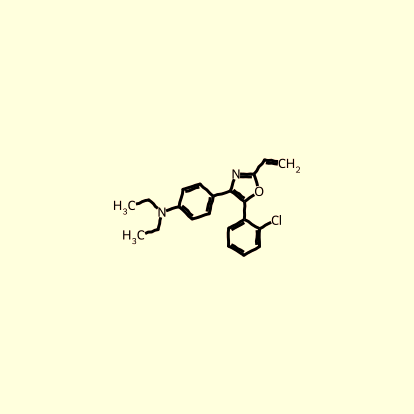 C=Cc1nc(-c2ccc(N(CC)CC)cc2)c(-c2ccccc2Cl)o1